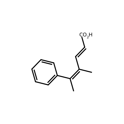 CC(C=CC(=O)O)=C(C)c1ccccc1